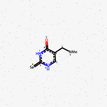 CNCc1c[nH]c(=[Se])[nH]c1=O